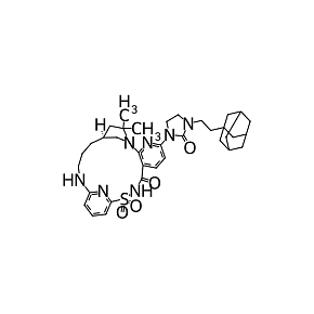 CC1(C)C[C@@H]2CCCNc3cccc(n3)S(=O)(=O)NC(=O)c3ccc(N4CCN(CCC56CC7CC(CC(C7)C5)C6)C4=O)nc3N1C2